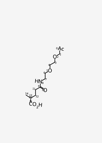 CC(=O)COCCOCCNC(=O)CC[C@H](C)C(=O)O